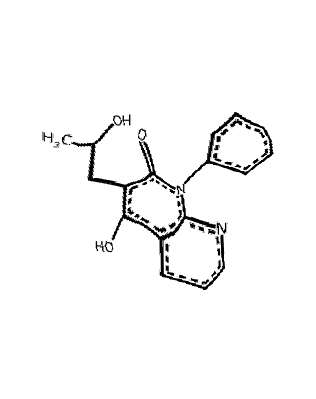 CC(O)Cc1c(O)c2cccnc2n(-c2ccccc2)c1=O